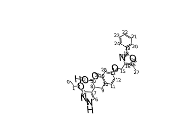 CCOc1n[nH]cc1C(Cc1ccc(OCc2nc(-c3ccccc3)oc2C)cc1)C(=O)O